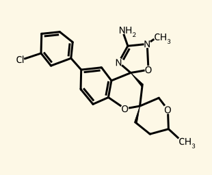 CC1CC[C@]2(CO1)C[C@]1(N=C(N)N(C)O1)c1cc(-c3cccc(Cl)c3)ccc1O2